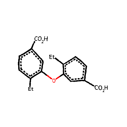 CCc1ccc(C(=O)O)cc1Oc1cc(C(=O)O)ccc1CC